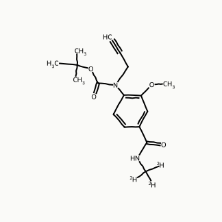 [2H]C([2H])([2H])NC(=O)c1ccc(N(CC#C)C(=O)OC(C)(C)C)c(OC)c1